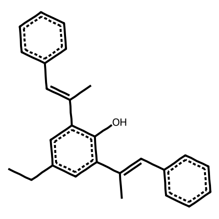 CCc1cc(C(C)=Cc2ccccc2)c(O)c(C(C)=Cc2ccccc2)c1